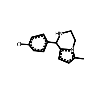 Cc1ccc2n1CCNC2c1ccc(Cl)cc1